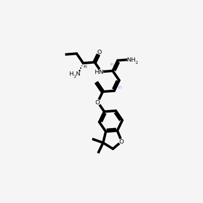 C=C(/C=C\C(=C/N)NC(=O)[C@H](N)CC)Oc1ccc2c(c1)C(C)(C)CO2